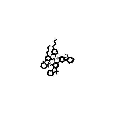 CCCCc1ccc(N2B3c4cc(CCCC)cc5c4N(c4c3c(cc3c4-c4ccccc4C3(C)C)-c3cc4c(cc32)oc2ccccc24)C2(C)CCCCC52C)c(C)c1